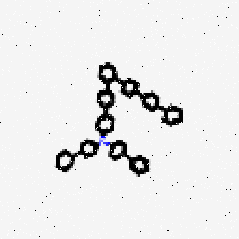 c1ccc(-c2ccc(-c3ccc(-c4ccccc4-c4ccc(-c5ccc(N(c6ccc(-c7ccccc7)cc6)c6ccc(-c7ccccc7)cc6)cc5)cc4)cc3)cc2)cc1